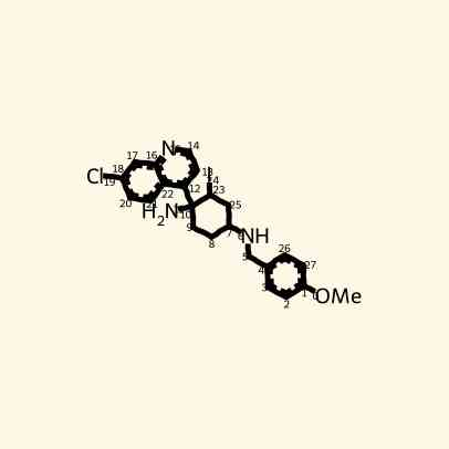 COc1ccc(CNC2CCC(N)(c3ccnc4cc(Cl)ccc34)C(I)C2)cc1